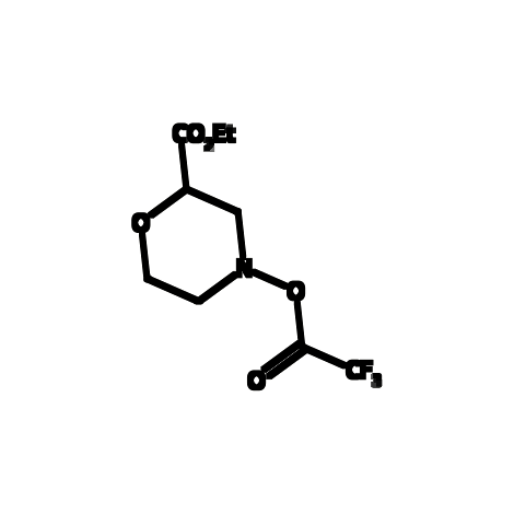 CCOC(=O)C1CN(OC(=O)C(F)(F)F)CCO1